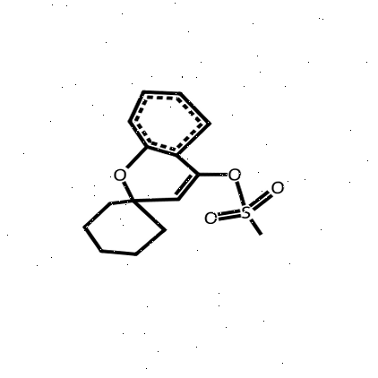 CS(=O)(=O)OC1=CC2(CCCCC2)Oc2ccccc21